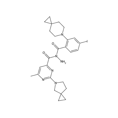 Cc1cc(C(=O)N(N)C(=O)c2ccc(I)cc2N2CCC3(CC2)CC3)nc(N2CCC3(CC3)C2)n1